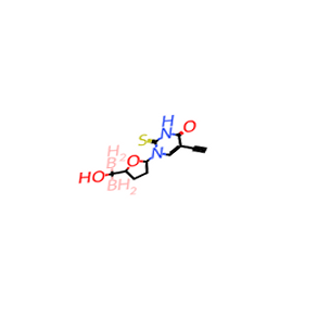 BC(B)(O)C1CCC(n2cc(C#C)c(=O)[nH]c2=S)O1